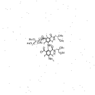 CC(=O)OC(C(=O)O)C(OC(C)=O)C(=O)O.CC(=O)OCC(CNC(=O)c1c(I)c(N)c(I)c(C(=O)Cl)c1I)OC(C)=O.CC(=O)OCC(CNC(=O)c1c(I)c(N)c(I)c(C(=O)Cl)c1I)OC(C)=O